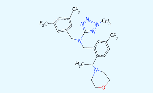 CC(c1ccc(C(F)(F)F)cc1CN(Cc1cc(C(F)(F)F)cc(C(F)(F)F)c1)c1nnn(C)n1)N1CCOCC1